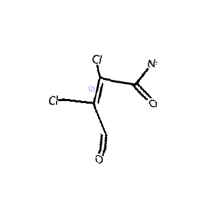 [N]C(=O)/C(Cl)=C(/Cl)C=O